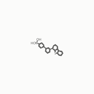 OB(O)c1ccc(-c2cccc(-c3cccc4c3sc3ccccc34)c2)cc1